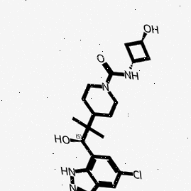 CC(C)(C1CCN(C(=O)N[C@H]2C[C@H](O)C2)CC1)[C@H](O)c1cc(Cl)cc2cn[nH]c12